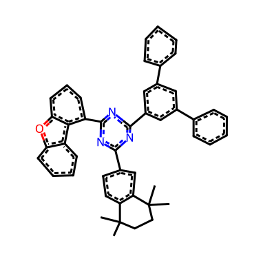 CC1(C)CCC(C)(C)c2cc(-c3nc(-c4cc(-c5ccccc5)cc(-c5ccccc5)c4)nc(-c4cccc5oc6ccccc6c45)n3)ccc21